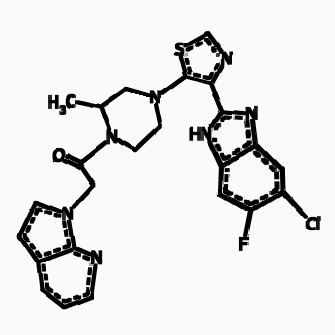 CC1CN(c2scnc2-c2nc3cc(Cl)c(F)cc3[nH]2)CCN1C(=O)Cn1ccc2cccnc21